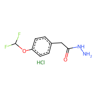 Cl.NNC(=O)Cc1ccc(OC(F)F)cc1